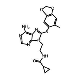 Cc1cc2c(cc1Sc1nc3c(N)ncnc3n1CCNC(=O)C1CC1)OCO2